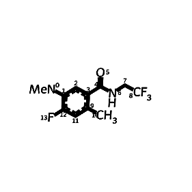 CNc1cc(C(=O)NCC(F)(F)F)c(C)cc1F